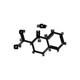 O=C(Cl)C1CCc2ccccc2N1.[Co]